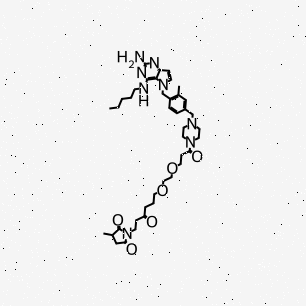 CCCCCNc1nc(N)nc2ccn(Cc3ccc(CN4CCN(C(=O)CCOCCOCCCC(=O)CCN5C(=O)CC(C)C5=O)CC4)cc3C)c12